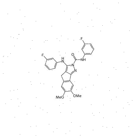 COc1cc2c(cc1OC)-c1nn(C(=O)Nc3cccc(F)c3)c(Nc3cccc(F)c3)c1C2